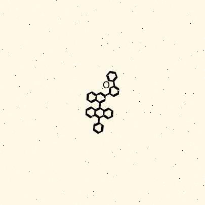 c1ccc(-c2c3ccccc3c(-c3cc(-c4cccc5c4oc4ccccc45)cc4ccccc34)c3ccccc23)cc1